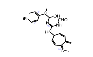 C=C1C=CC(N/C(=N/C(O)N(C)C(/C=C\C(C)C)=C/C)NC=O)C=C/C1=N/C